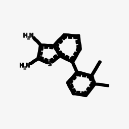 Cc1cccc(-c2cccc3c(N)c(N)sc23)c1C